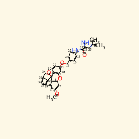 COc1ccc2c(c1)Oc1cc(OCc3ccc(NC(=O)[C@@H](N)CC(C)C)cc3)ccc1C21OCc2ccccc21